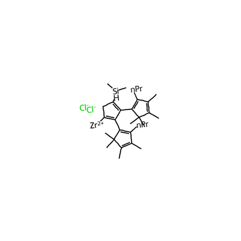 CCCC1=C(C2=[C]([Zr+2])CC([SiH](C)C)=C2C2=C(CCC)C(C)=C(C)C2(C)C)C(C)(C)C(C)=C1C.[Cl-].[Cl-]